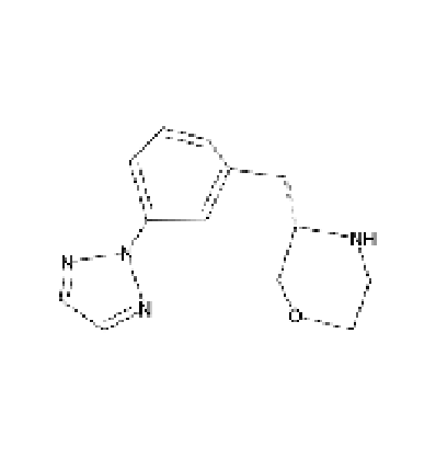 c1cc(C[C@H]2COCCN2)cc(-n2nccn2)c1